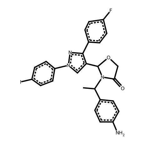 CC(c1ccc(N)cc1)N1C(=O)COC1c1cn(-c2ccc(I)cc2)nc1-c1ccc(F)cc1